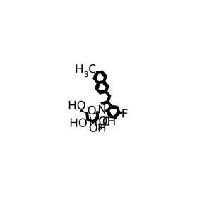 Cc1ccc2cc(Cc3cn([C@@H]4O[C@H](CO)[C@@H](O)[C@H](O)[C@H]4O)c4c(C)cc(F)cc34)ccc2c1